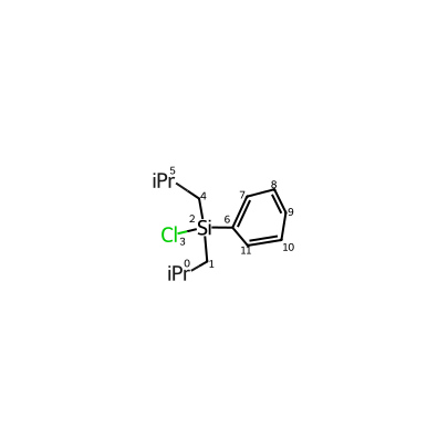 CC(C)C[Si](Cl)(CC(C)C)c1ccccc1